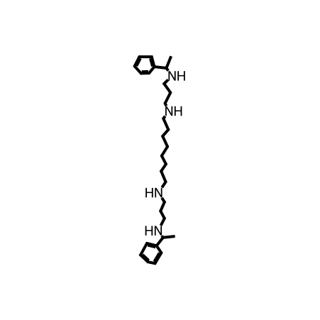 CC(NCCCNCCCCCCCCNCCCNC(C)c1ccccc1)c1ccccc1